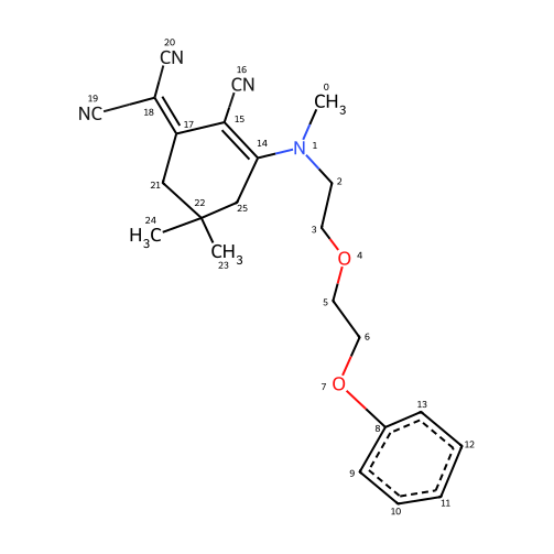 CN(CCOCCOc1ccccc1)C1=C(C#N)C(=C(C#N)C#N)CC(C)(C)C1